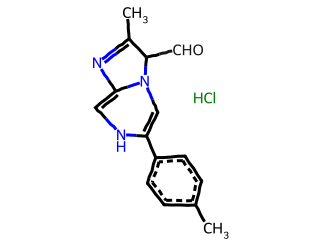 CC1=NC2=CNC(c3ccc(C)cc3)=CN2C1C=O.Cl